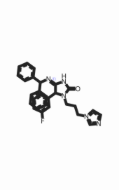 O=C1N/C(=N/C(c2ccccc2)c2ccccc2)C(c2cccc(F)c2)N1CCCn1ccnc1